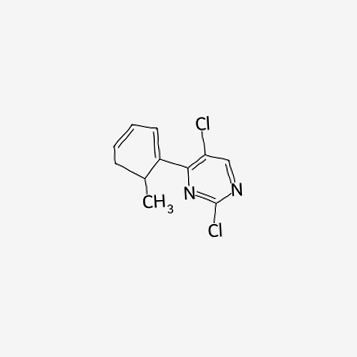 CC1CC=CC=C1c1nc(Cl)ncc1Cl